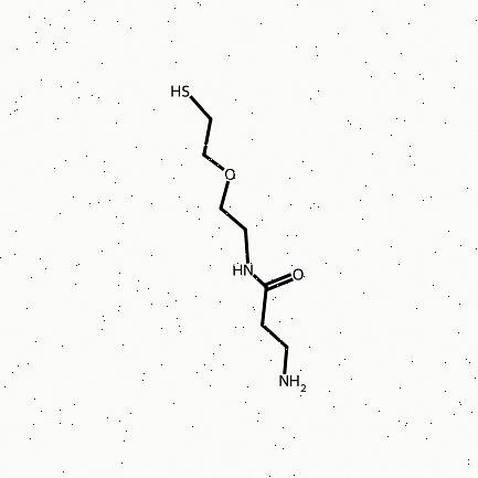 NCCC(=O)NCCOCCS